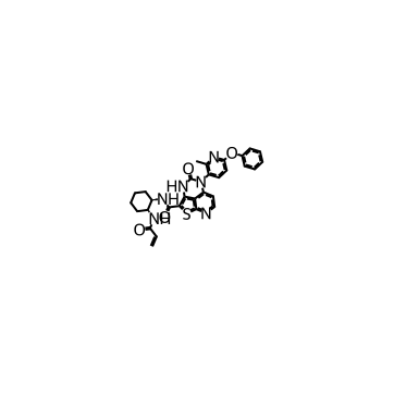 C=CC(=O)N[C@H]1CCCC[C@H]1NC(=O)c1sc2nccc3c2c1NC(=O)N3c1ccc(Oc2ccccc2)nc1C